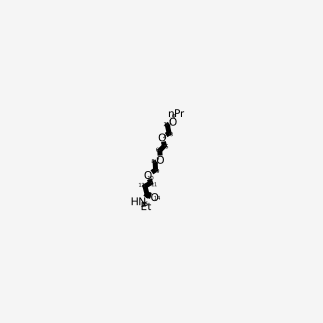 CCCOCCOCCOCCOCCC(=O)NCC